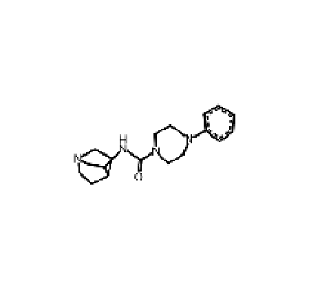 O=C(NC1CN2CCC1CC2)N1CCN(c2ccccc2)CC1